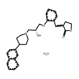 O.O=C1OCCC1=Cc1ccccc1OC[C@H](O)CN1CCC(c2ccc3ccccc3c2)CC1